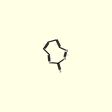 S=C1\N=N/C=C/C=C\C=N\1